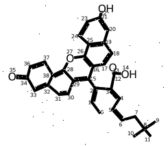 C\C=C(/C(=C\C=C/CC(C)(C)C)C(=O)O)c1c2ccc3cc(O)ccc3c2oc2c1ccc1cc(=O)ccc12